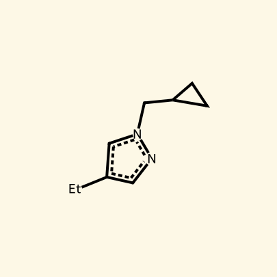 CCc1cnn(CC2CC2)c1